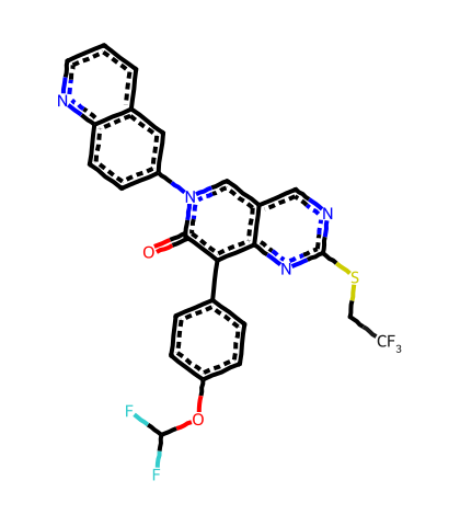 O=c1c(-c2ccc(OC(F)F)cc2)c2nc(SCC(F)(F)F)ncc2cn1-c1ccc2ncccc2c1